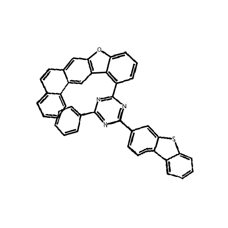 c1ccc(-c2nc(-c3ccc4c(c3)sc3ccccc34)nc(-c3cccc4oc5cc6ccc7ccccc7c6cc5c34)n2)cc1